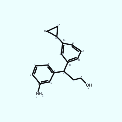 Nc1cccc(C(CCO)c2cccc(C3CC3)c2)c1